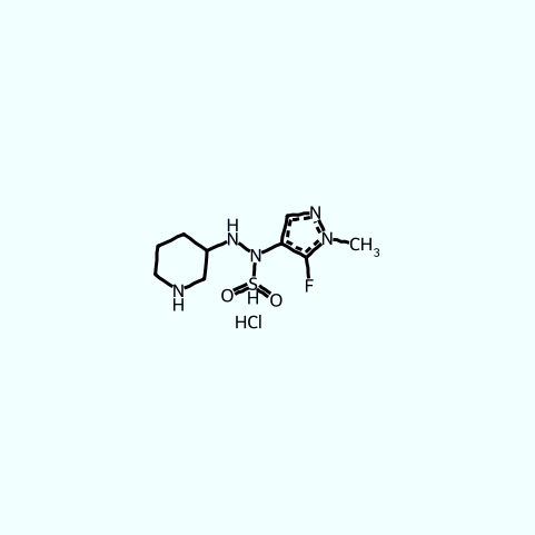 Cl.Cn1ncc(N(NC2CCCNC2)[SH](=O)=O)c1F